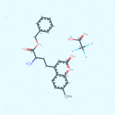 COc1ccc2c(CCC(N)C(=O)OCc3ccccc3)cc(=O)oc2c1.O=C(O)C(F)(F)F